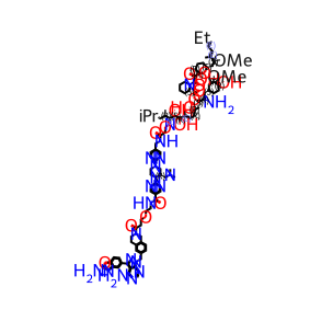 CC/C=C/C=C(\C)[C@H](C[C@@H]1CC[C@@H](C)[C@](O)(C(=O)C(=O)N2CCCC[C@H]2C(=O)O[C@@H](C[C@@H](O)[C@H](C)/C=C(\C)[C@@H](O)[C@@H](O)/C(=N/OCC(=O)NCc2cnc(N3CCN(c4ncc(C(=O)NCCOCCC(=O)N5CCc6cc(Cn7nc(-c8ccc9oc(N)nc9c8)c8c(N)ncnc87)ccc6C5)cn4)[C@H](CN(C)C)C3)nc2)[C@H](C)CC(C)C)[C@H](N)C[C@@H]2CC[C@@H](O)[C@H](OC)C2)O1)OC